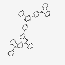 c1ccc(-c2nc(-c3ccc(-c4ccc5c(c4)nc(-c4ccccc4)c4ccc6c(c7ccccc7n6-c6ccccc6)c45)cc3)nc(-c3ccc(-n4c5ccccc5c5ccccc54)cc3)n2)cc1